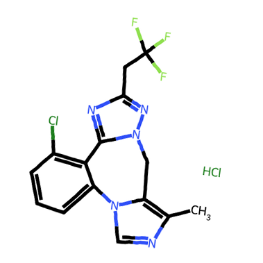 Cc1ncn2c1Cn1nc(CC(F)(F)F)nc1-c1c(Cl)cccc1-2.Cl